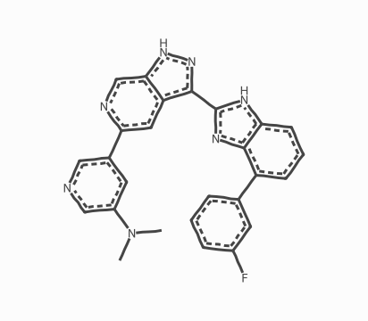 CN(C)c1cncc(-c2cc3c(-c4nc5c(-c6cccc(F)c6)cccc5[nH]4)n[nH]c3cn2)c1